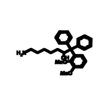 COc1cccc(C(c2ccccc2)(c2ccccc2)C(O)CCCCCN)c1OC